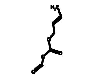 C/C=C/COC(=O)O[C]=O